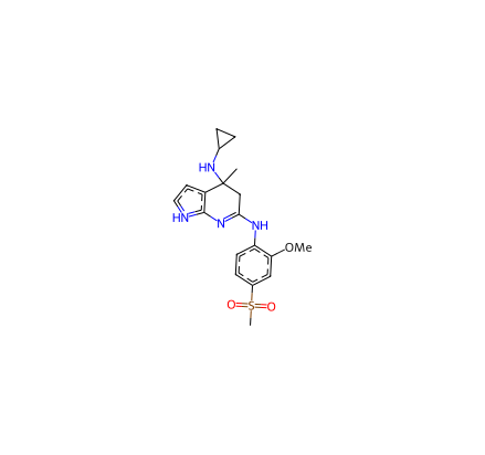 COc1cc(S(C)(=O)=O)ccc1NC1=Nc2[nH]ccc2C(C)(NC2CC2)C1